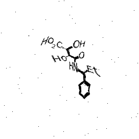 CC[C@H](NC(=O)[C@H](O)[C@@H](O)C(=O)O)c1ccccc1